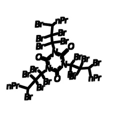 CCCC(Br)C(Br)(Br)C(Br)(Br)n1c(=O)n(C(Br)(Br)C(Br)(Br)C(Br)CCC)c(=O)n(C(Br)(Br)C(Br)(Br)C(Br)CCC)c1=O